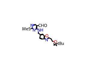 CSc1ncc(C=O)c(NCc2ccc3nc(CCO[Si](C)(C)C(C)(C)C)oc3c2)n1